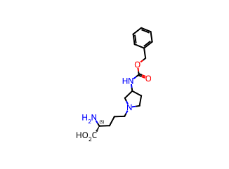 N[C@@H](CCCN1CCC(NC(=O)OCc2ccccc2)C1)C(=O)O